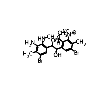 CNc1c(C(O)C(O)c2cc(Br)c(C)c([N+](=O)[O-])c2NC)cc(Br)c(C)c1N